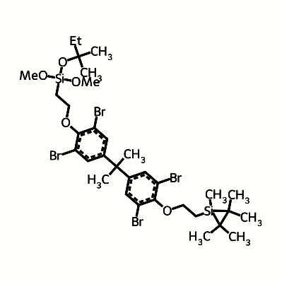 CCC(C)(C)O[Si](CCOc1c(Br)cc(C(C)(C)c2cc(Br)c(OCC[Si]3(C)C(C)(C)C3(C)C)c(Br)c2)cc1Br)(OC)OC